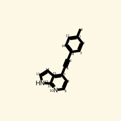 Cc1ccc(C#Cc2ccnc3[nH]ccc23)cc1